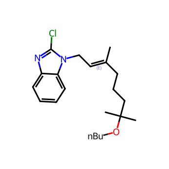 CCCCOC(C)(C)CCC/C(C)=C/Cn1c(Cl)nc2ccccc21